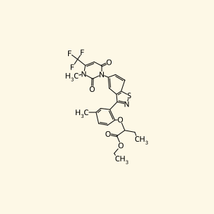 CCOC(=O)C(CC)Oc1ccc(C)cc1-c1nsc2ccc(-n3c(=O)cc(C(F)(F)F)n(C)c3=O)cc12